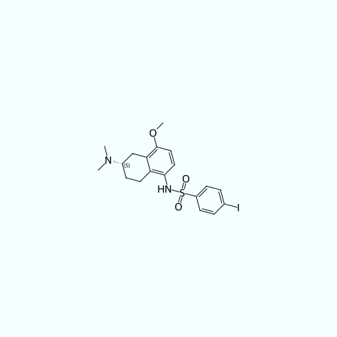 COc1ccc(NS(=O)(=O)c2ccc(I)cc2)c2c1C[C@@H](N(C)C)CC2